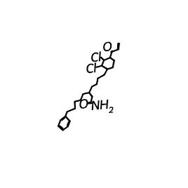 C=CC(=O)C1CCC(CCCCC(CCCCCc2ccccc2)CC(N)=O)C(Cl)C1Cl